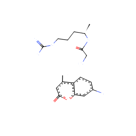 Cc1cc(=O)oc2cc(N)ccc12.N=C(N)NCCC[C@H](NC(=O)CN)C(=O)O